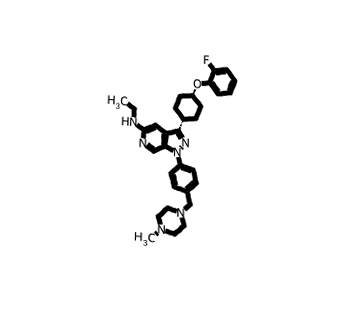 CCNc1cc2c(cn1)n(-c1ccc(CN3CCN(C)CC3)cc1)nc2[C@H]1CC[C@@H](Oc2ccccc2F)CC1